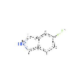 Fc1ccc2c[nH]cc2c1